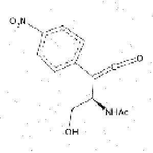 CC(=O)N[C@@H](CO)C(=C=O)c1ccc([N+](=O)[O-])cc1